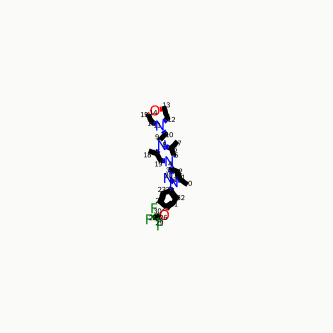 Cc1cc(N2CC(C)N(CCN3CCOCC3)C(C)C2)nn1-c1ccc(OC(F)(F)F)cc1